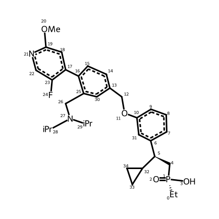 CC[P@@](=O)(O)C[C@H](c1cccc(OCc2ccc(-c3cc(OC)ncc3F)c(CN(C(C)C)C(C)C)c2)c1)C1CC1